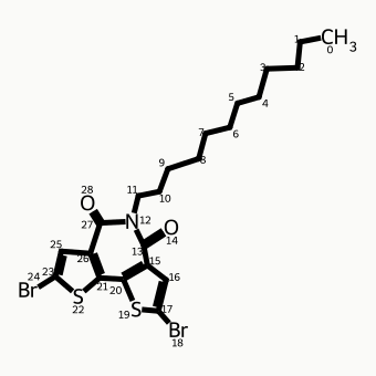 CCCCCCCCCCCCn1c(=O)c2cc(Br)sc2c2sc(Br)cc2c1=O